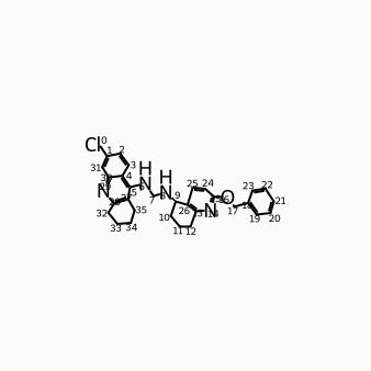 Clc1ccc2c(NCN[C@@H]3CCCc4nc(OCc5ccccc5)ccc43)c3c(nc2c1)CCCC3